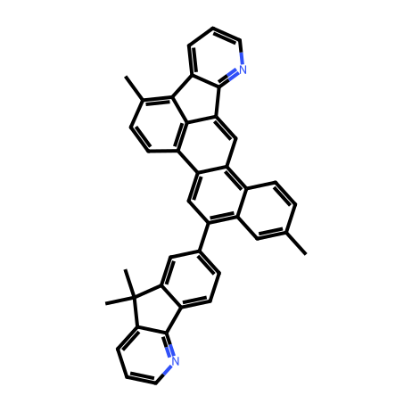 Cc1ccc2c(c1)c(-c1ccc3c(c1)C(C)(C)c1cccnc1-3)cc1c3ccc(C)c4c3c(cc21)-c1ncccc1-4